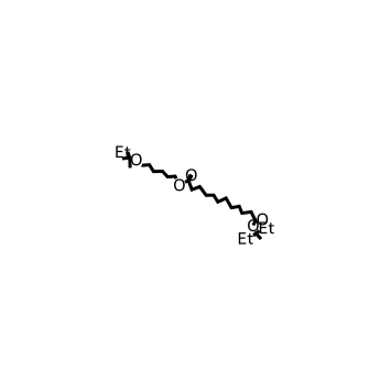 CCC(C)(C)OCCCCCCOC(=O)CCCCCCCCCCC(=O)OC(C)(CC)CC